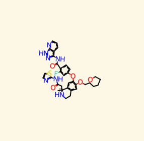 C[C@]1(CC(=O)Nc2nccs2)NCCc2cc(OCC3CCCCO3)c(Oc3ccc(C(=O)Nc4n[nH]c5ncccc45)c(F)c3)cc21